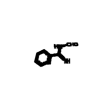 N=C(NC=O)c1ccccc1